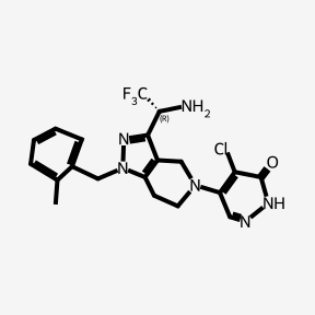 Cc1ccccc1Cn1nc([C@@H](N)C(F)(F)F)c2c1CCN(c1cn[nH]c(=O)c1Cl)C2